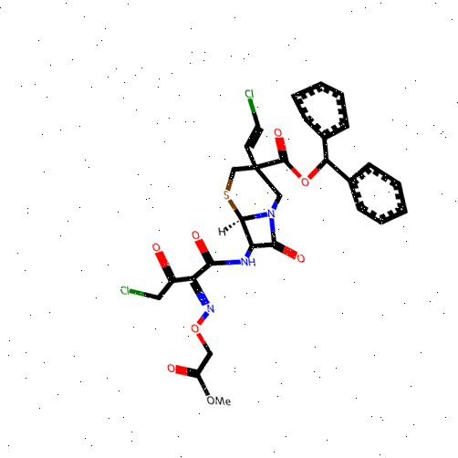 COC(=O)CON=C(C(=O)CCl)C(=O)NC1C(=O)N2CC(C=CCl)(C(=O)OC(c3ccccc3)c3ccccc3)CS[C@H]12